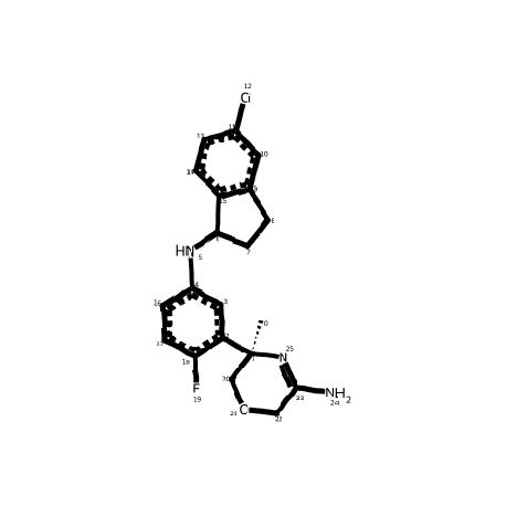 C[C@@]1(c2cc(NC3CCc4cc(Cl)ccc43)ccc2F)COCC(N)=N1